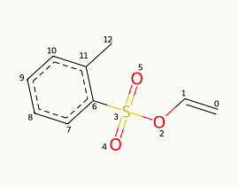 C=COS(=O)(=O)c1ccccc1C